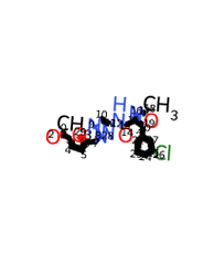 CC(=O)c1ccc(Cn2ncc(NC(=O)c3nc(C)oc3-c3cccc(Cl)c3)n2)o1